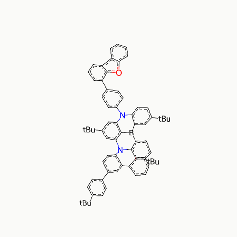 CC(C)(C)c1ccc(-c2ccc(N3c4cc(C(C)(C)C)ccc4B4c5cc(C(C)(C)C)ccc5N(c5ccc(-c6cccc7c6oc6ccccc67)cc5)c5cc(C(C)(C)C)cc3c54)c(-c3ccccc3)c2)cc1